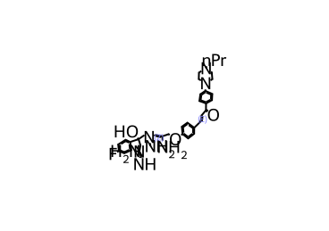 CCCN1CCN(c2ccc(C(=O)/C=C/c3ccc(OC/C(N)=C/N(N)CC(O)(CN(N)C=N)c4ccc(F)cc4)cc3)cc2)CC1